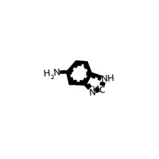 Nc1ccc2[nH][14cH]nc2c1